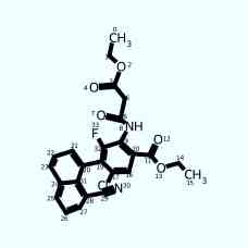 CCOC(=O)CC(=O)Nc1c(C(=O)OCC)cc(Cl)c(-c2cccc3cccc(C#N)c23)c1F